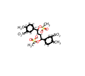 Cc1ccc(C(CCC(OS(C)(=O)=O)c2ccc(C)c([N+](=O)[O-])c2)OS(C)(=O)=O)cc1[N+](=O)[O-]